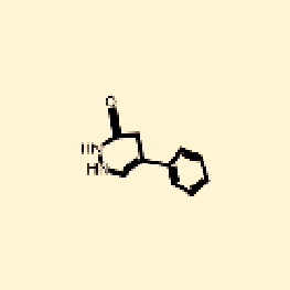 O=C1CC(c2ccccc2)=CNN1